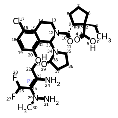 CC[C@]1(C(=O)O)CCC[C@H]1C(=O)N1CCc2c(Cl)ccc(OC/C(N)=C(\C(F)F)N(C)N)c2C1N1CCCC1O